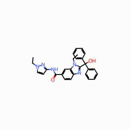 CCn1ccc(NC(=O)c2ccc3nc(C(O)(c4ccccc4)c4ccccc4)n(CC)c3c2)n1